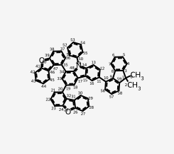 CC1(C)c2ccccc2-c2c(-c3ccc4c(c3)c3cc(-c5cccc6oc7ccccc7c56)cc(-c5cccc6oc7ccccc7c56)c3n4-c3ccccc3)cccc21